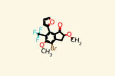 COc1c(Br)c2c(c(-c3ccco3)c1C(F)(F)F)C(=O)C(OC)C2